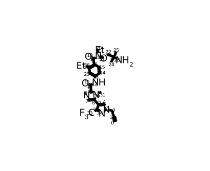 C#CCn1cc(-c2cnc(C(=O)Nc3ccc(C(=O)N(CC)OCC(C)(C)N)c(CC)c3)n2C)c(C(F)(F)F)n1